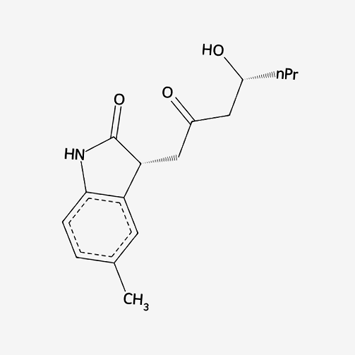 CCC[C@@H](O)CC(=O)C[C@H]1C(=O)Nc2ccc(C)cc21